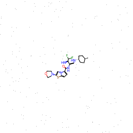 C[C@H]1CC[C@H](N/C=C(/NC(=O)c2ccc3sc(N4CCOCC4)cn23)C(=N)C(F)F)CC1